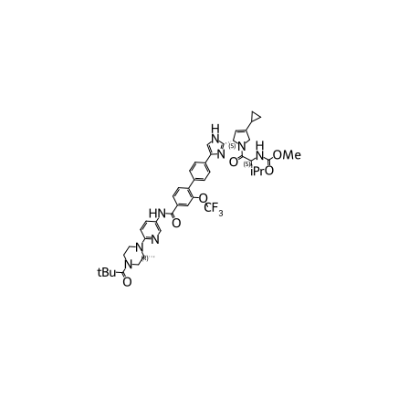 COC(=O)N[C@H](C(=O)N1CC(C2CC2)=C[C@H]1c1nc(-c2ccc(-c3ccc(C(=O)Nc4ccc(N5CCN(C(=O)C(C)(C)C)C[C@H]5C)nc4)cc3OC(F)(F)F)cc2)c[nH]1)C(C)C